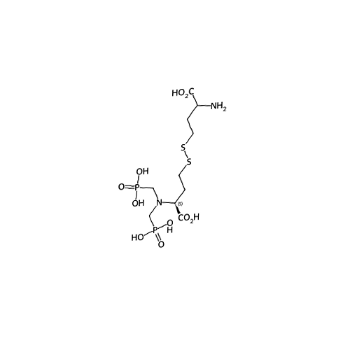 NC(CCSSCC[C@@H](C(=O)O)N(CP(=O)(O)O)CP(=O)(O)O)C(=O)O